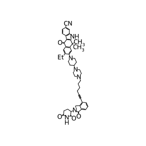 CCc1cc2c(cc1N1CCC(N3CCN(CCCCC#Cc4cccc5c4CN(C4CCC(=O)NC4=O)C5=O)CC3)CC1)C(C)(C)c1[nH]c3cc(C#N)ccc3c1C2=O